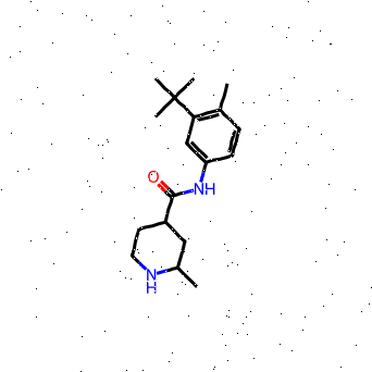 Cc1ccc(NC(=O)C2CCNC(C)C2)cc1C(C)(C)C